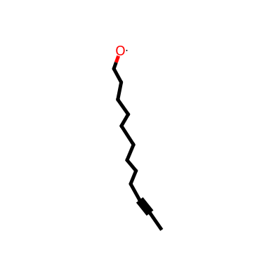 CC#CCCCCCCCCC[O]